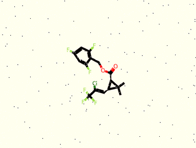 CC1(C)[C@H](C(=O)OCc2c(F)cc(F)cc2F)[C@@H]1C=C(Cl)C(F)(F)F